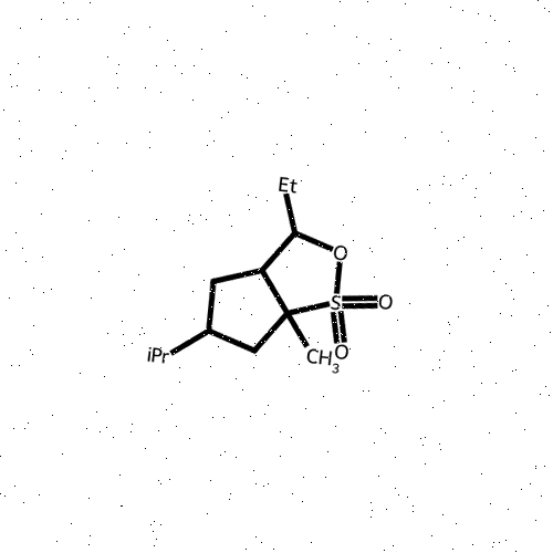 CCC1OS(=O)(=O)C2(C)CC(C(C)C)CC12